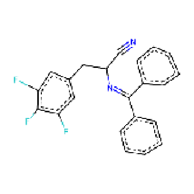 N#CC(Cc1cc(F)c(F)c(F)c1)N=C(c1ccccc1)c1ccccc1